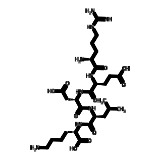 CC(C)C[C@H](NC(=O)[C@H](CC(=O)O)NC(=O)[C@H](CCC(=O)O)NC(=O)[C@@H](N)CCCNC(=N)N)C(=O)N[C@@H](CCCCN)C(=O)O